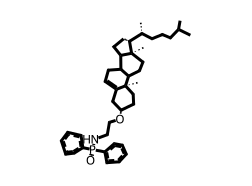 CC(C)CCC[C@@H](C)[C@H]1CCC2C3CC=C4C[C@@H](OCCNP(=O)(c5ccccc5)c5ccccc5)CC[C@]4(C)C3CC[C@@]21C